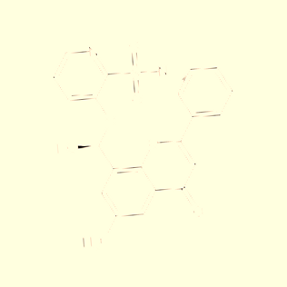 Cc1cc([C@@H](C)Oc2cccnc2S(N)(=O)=O)c2oc(-c3ccccc3)cc(=O)c2c1